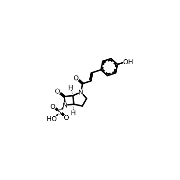 O=C(/C=C/c1ccc(O)cc1)N1CC[C@@H]2[C@H]1C(=O)N2S(=O)(=O)O